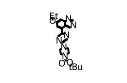 CCOc1cc(-c2cnc(N3CCN(C(=O)OC(C)(C)C)CC3)cn2)c2cncnc2c1